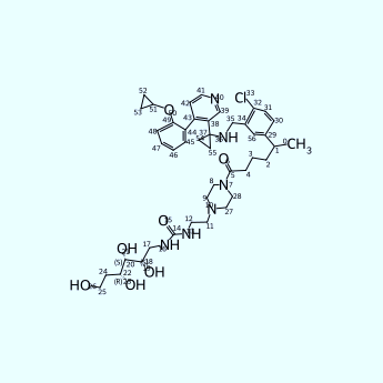 CC(CCCC(=O)N1CCN(CCNC(=O)NC[C@H](O)[C@@H](O)[C@H](O)CCO)CC1)c1ccc(Cl)c(CNC2(c3cnccc3-c3ccccc3OC3CC3)CC2)c1